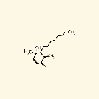 C=C1C(=O)C=CC(C)(C)C1CCCCCCCC